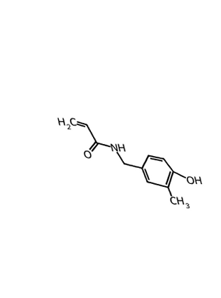 C=CC(=O)NCc1ccc(O)c(C)c1